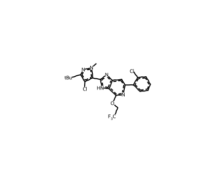 Cn1nc(C(C)(C)C)c(Cl)c1-c1nc2cc(-c3ccccc3Cl)nc(OCC(F)(F)F)c2[nH]1